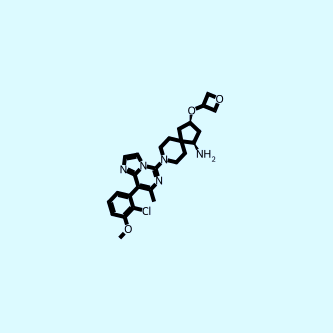 COc1cccc(-c2c(C)nc(N3CCC4(CC3)C[C@@H](OC3COC3)C[C@H]4N)n3ccnc23)c1Cl